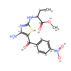 CCC(Nc1nc(N)c(C(=O)c2ccc([N+](=O)[O-])cc2)s1)C(=O)OC